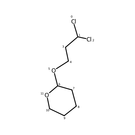 ClC(Cl)CCOC1CCCCO1